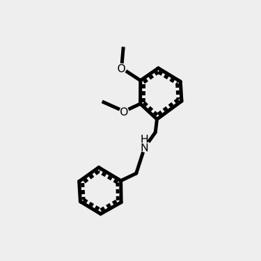 COc1cccc(CNCc2ccccc2)c1OC